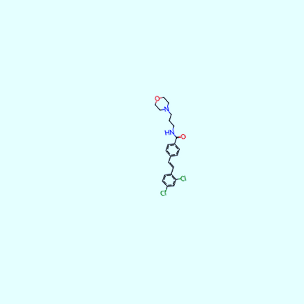 O=C(NCCCN1CCOCC1)c1ccc(/C=C/c2ccc(Cl)cc2Cl)cc1